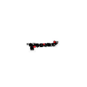 OC(c1cn(-c2ccc(N3CCN(c4ccc(-c5ccc(C(F)(F)[C@]6(O)Cn7nnnc7-c7cc(F)ccc76)nc5)cc4)CC3)cc2)nn1)C(F)(F)F